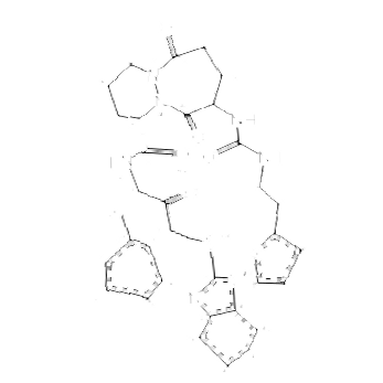 O=C(NCCc1cccs1)NC1CCC(=O)N2CCC[C@@H](C(=O)N[C@@H](Cc3ccccc3)C(=O)CSc3nc4ccccc4s3)N2C1=O